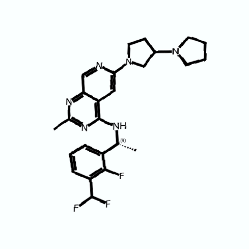 Cc1nc(N[C@H](C)c2cccc(C(F)F)c2F)c2cc(N3CCC(N4CCCC4)C3)ncc2n1